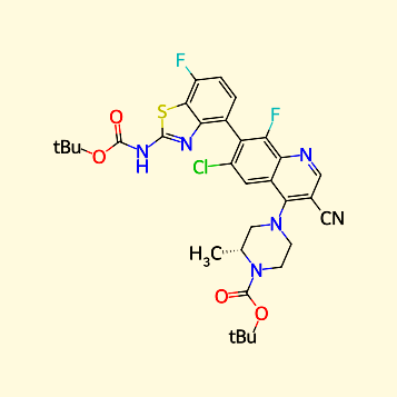 C[C@@H]1CN(c2c(C#N)cnc3c(F)c(-c4ccc(F)c5sc(NC(=O)OC(C)(C)C)nc45)c(Cl)cc23)CCN1C(=O)OC(C)(C)C